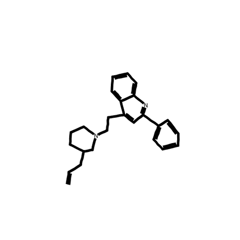 C=CCC1CCCN(CCc2cc(-c3ccccc3)nc3ccccc23)C1